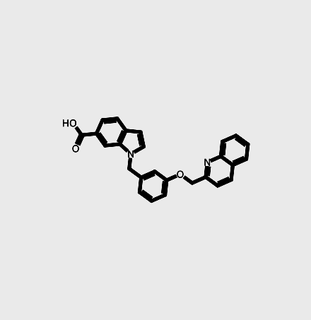 O=C(O)c1ccc2ccn(Cc3cccc(OCc4ccc5ccccc5n4)c3)c2c1